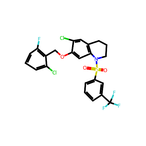 O=S(=O)(c1cccc(C(F)(F)F)c1)N1CCCc2cc(Cl)c(OCc3c(F)cccc3Cl)cc21